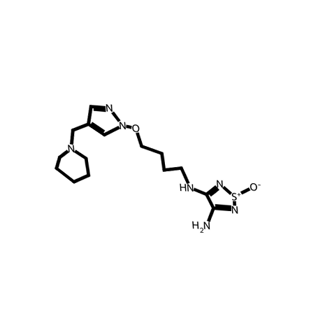 Nc1n[s+]([O-])nc1NCCCCOn1cc(CN2CCCCC2)cn1